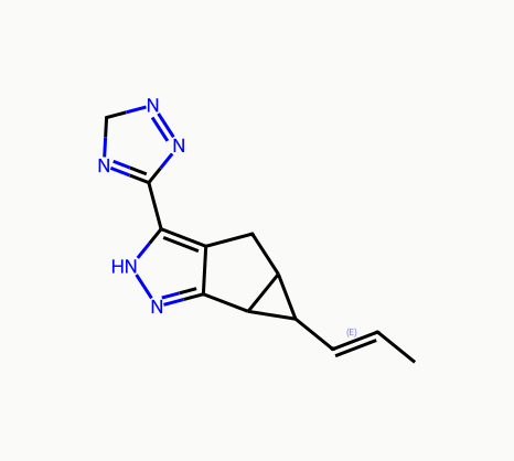 C/C=C/C1C2Cc3c(n[nH]c3C3=NCN=N3)C12